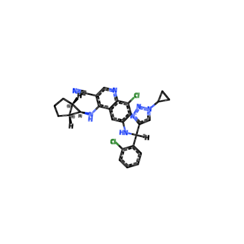 [2H]C(Nc1cc(Cl)c2ncc(C#N)c(N[C@H]3[C@@H]4CCC[C@@H]43)c2c1)(c1cn(C2CC2)nn1)c1ccccc1Cl